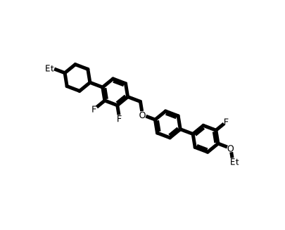 CCOc1ccc(-c2ccc(OCc3ccc(C4CCC(CC)CC4)c(F)c3F)cc2)cc1F